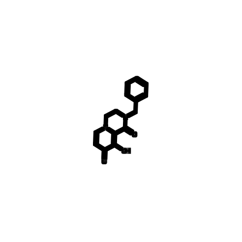 O=C1c2c(O)c(=O)ccn2CCN1Cc1ccccc1